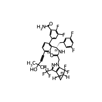 CC(C)(O)C#Cc1ccc(-c2cc(F)c(F)c(C(N)=O)c2)c([C@H](Cc2cc(F)cc(F)c2)NC(=O)Cn2nc(C(F)(F)F)c3c2C(F)(F)[C@@H]2C[C@H]32)n1